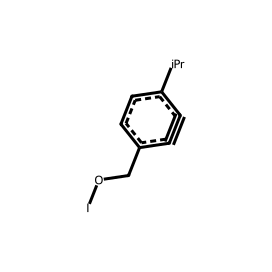 CC(C)c1c#cc(COI)cc1